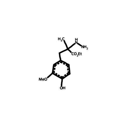 CCOC(=O)C(C)(Cc1ccc(O)c(OC)c1)NN